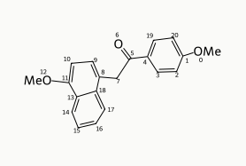 COc1ccc(C(=O)Cc2ccc(OC)c3ccccc23)cc1